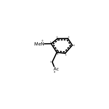 CNc1ccccc1CC(C)=O